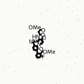 COC(=O)CC(=O)Nc1c(Cl)ccnc1N[C@H](C)c1ccc(-c2cccc(F)c2C(=O)OC)cc1